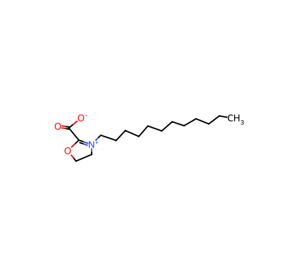 CCCCCCCCCCCC[N+]1=C(C(=O)[O-])OCC1